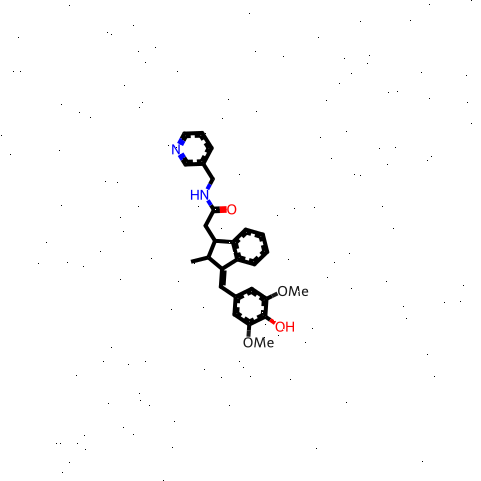 COc1cc(/C=C2\c3ccccc3C(CC(=O)NCc3cccnc3)C2C)cc(OC)c1O